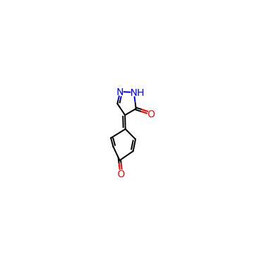 O=C1C=CC(=C2C=NNC2=O)C=C1